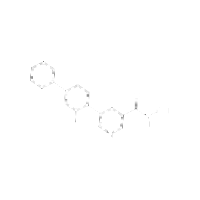 O=C(NO)c1cncc(-c2ccc(-c3ccccc3)cc2F)c1